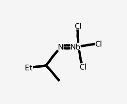 CCC(C)[N]=[Nb]([Cl])([Cl])[Cl]